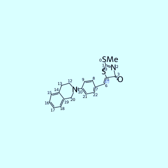 CSC1=NC(=O)/C(=C/c2ccc(N3CCc4ccccc4C3)cc2)S1